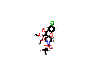 CCOC(OCC)C1C(=O)c2cc(Cl)ccc2OC12CCN(C(=O)OC(C)(C)C)CC2